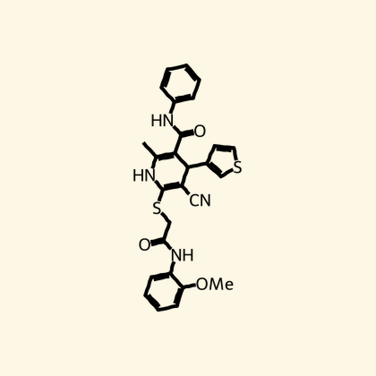 COc1ccccc1NC(=O)CSC1=C(C#N)C(c2ccsc2)C(C(=O)Nc2ccccc2)=C(C)N1